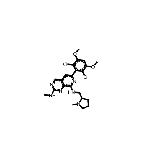 CNc1ncc2cc(-c3c(Cl)c(OC)cc(OC)c3Cl)nc(NCC3CCCN3C)c2n1